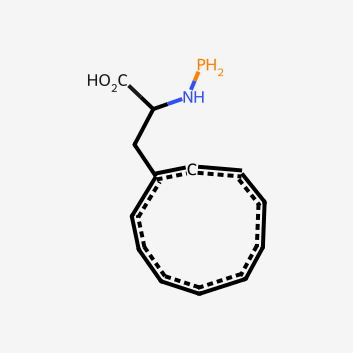 O=C(O)C(Cc1ccccccccc1)NP